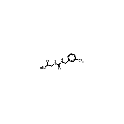 CCCCC(CC)CNC(=O)NCc1cccc(C(F)(F)F)c1